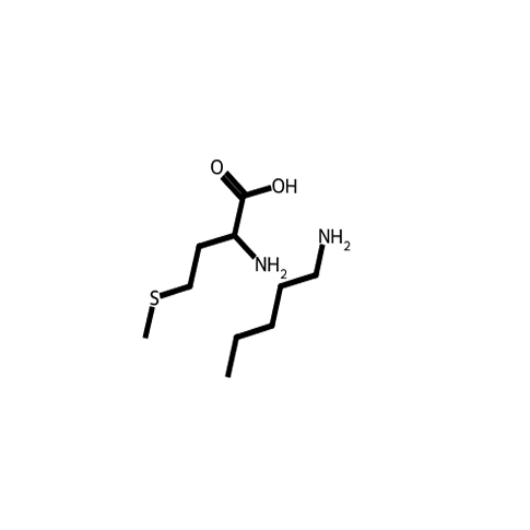 CCCCCN.CSCCC(N)C(=O)O